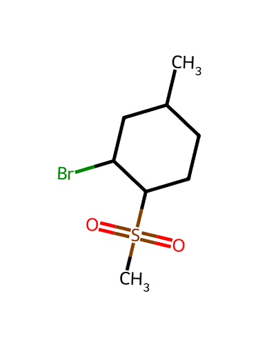 CC1CCC(S(C)(=O)=O)C(Br)C1